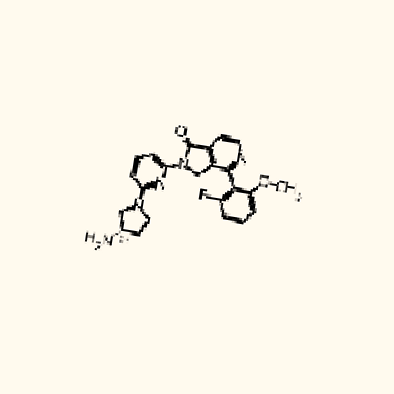 COc1cccc(F)c1-c1nccc2c1CN(c1cccc(N3CC[C@H](N)C3)n1)C2=O